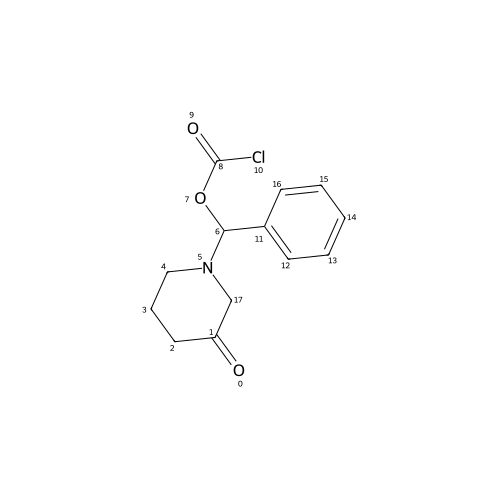 O=C1CCCN(C(OC(=O)Cl)c2ccccc2)C1